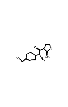 C=C1OCCN1C(=O)C(C)C1CCB(CS)CC1